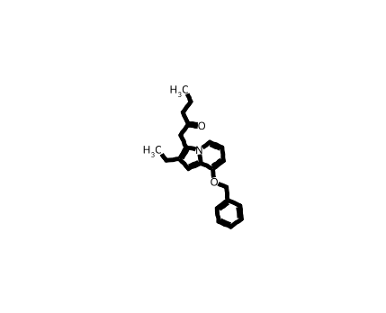 CCCC(=O)Cc1c(CC)cc2c(OCc3ccccc3)cccn12